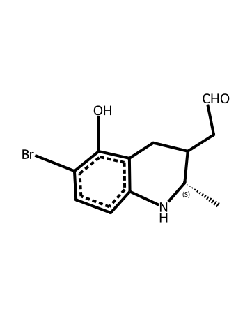 C[C@@H]1Nc2ccc(Br)c(O)c2CC1CC=O